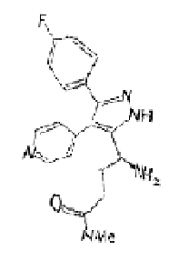 CNC(=O)CC[C@H](N)c1[nH]nc(-c2ccc(F)cc2)c1-c1ccncc1